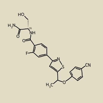 CC(Oc1ccc(C#N)cc1)c1cc(-c2ccc(C(=O)N[C@@H](CO)C(N)=O)c(F)c2)ns1